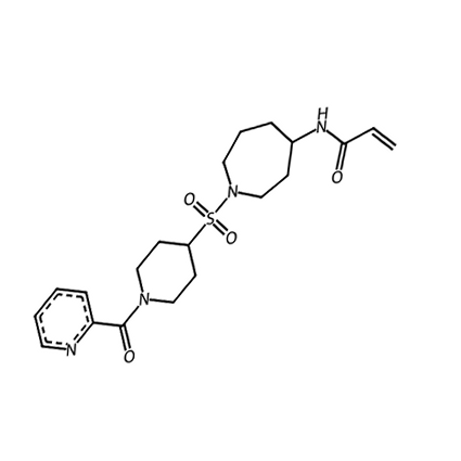 C=CC(=O)NC1CCCN(S(=O)(=O)C2CCN(C(=O)c3ccccn3)CC2)CC1